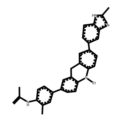 C=C(C)Nc1ccc(-c2ccc3c(c2)Cc2cc(-c4ccc5[nH]c(C)nc5c4)ccc2N3CC)cc1C